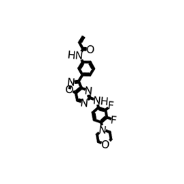 C=CC(=O)Nc1cccc(-c2noc3cnc(Nc4ccc(N5CCOCC5)c(F)c4F)nc23)c1